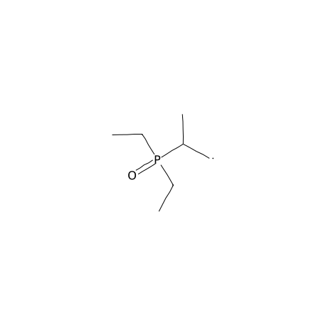 [CH2]C(C)P(=O)(CC)CC